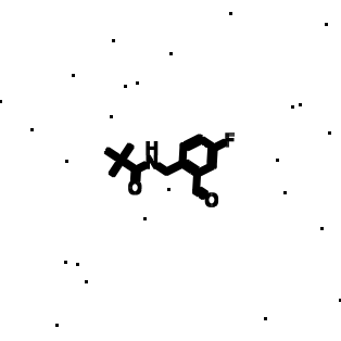 CC(C)(C)C(=O)NCc1ccc(F)cc1C=O